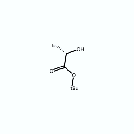 [CH2]C[C@H](O)C(=O)OC(C)(C)C